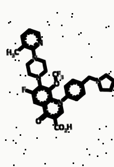 Cc1cccnc1N1CCN(c2c(F)cc3c(=O)c(C(=O)O)cn(-c4ccc(CN5CCCC5)cc4)c3c2OC(F)(F)F)CC1